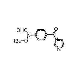 CC(C)(C)ON(C=O)c1ccc(C(=O)n2ccnc2)cc1